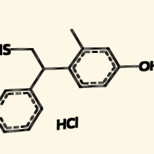 Cc1cc(O)ccc1C(CS)c1ccccc1.Cl